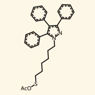 CC(=O)OSCCCCCCn1nc(-c2ccccc2)c(-c2ccccc2)c1-c1ccccc1